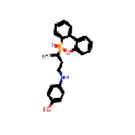 CCCC(CCNc1ccc(O)cc1)P1(=O)Oc2ccccc2-c2ccccc21